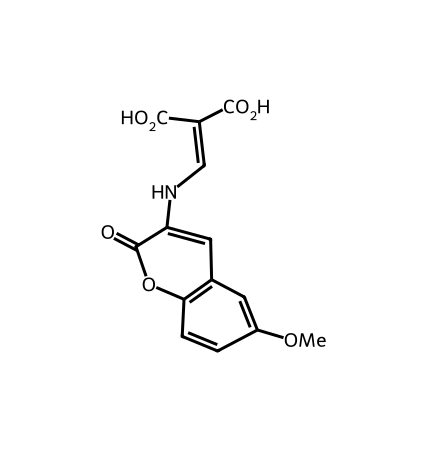 COc1ccc2oc(=O)c(NC=C(C(=O)O)C(=O)O)cc2c1